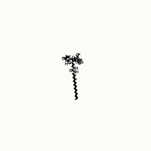 CCCCCCCCCCCCCCCNC(=O)NCCC[C@H]1C(OP(=O)(O)OC)[C@@H](COC)O[C@H]1n1ccc(=O)[nH]c1=O